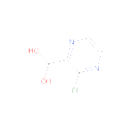 OC(O)c1nccnc1Cl